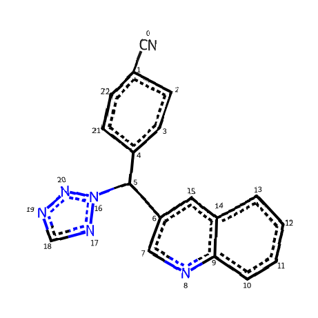 N#Cc1ccc(C(c2cnc3ccccc3c2)n2ncnn2)cc1